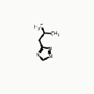 CC(C)CC1=NCN=N1